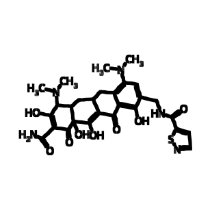 CN(C)c1cc(CNC(=O)c2ccns2)c(O)c2c1CC1CC3C(N(C)C)C(O)=C(C(N)=O)C(=O)C3(O)C(O)=C1C2=O